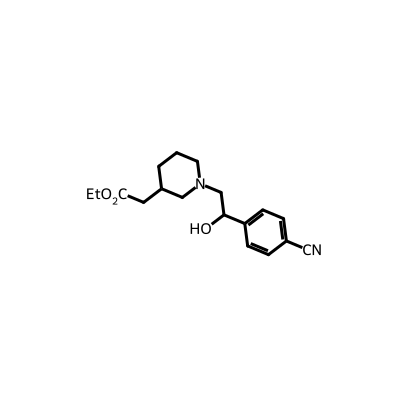 CCOC(=O)CC1CCCN(CC(O)c2ccc(C#N)cc2)C1